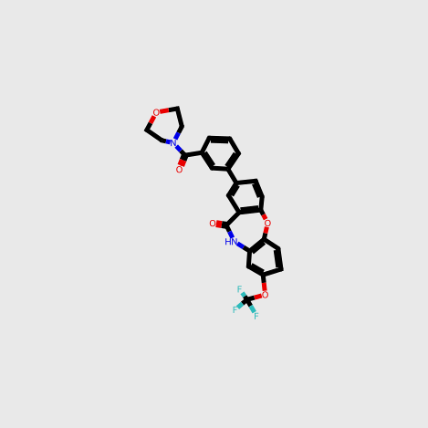 O=C1Nc2cc(OC(F)(F)F)ccc2Oc2ccc(-c3cccc(C(=O)N4CCOCC4)c3)cc21